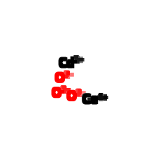 [Cd+2].[Ge+4].[O-2].[O-2].[O-2]